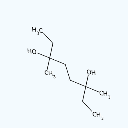 CCC(C)(O)[CH]CC(C)(O)CC